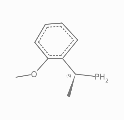 COc1ccccc1[C@H](C)P